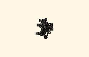 N=C(N)NCCC[C@H](NC(=O)[C@@H](Cc1ccccc1)NC(=O)[C@H](Cc1c[nH]cn1)NC(=O)CCc1ccccc1)C(=O)N[C@@H](CS)C(=O)N[C@@H](Cc1c[nH]c2ccccc12)C(N)=O